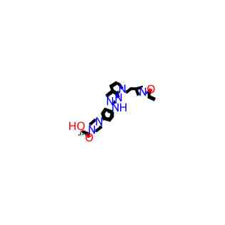 C=CC(=O)N1CC(CCN2CC=Cc3cnc(Nc4ccc(N5CCN(C(=O)[C@H](C)O)CC5)cc4)nc32)C1